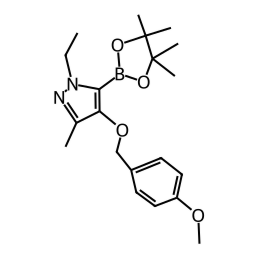 CCn1nc(C)c(OCc2ccc(OC)cc2)c1B1OC(C)(C)C(C)(C)O1